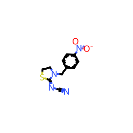 N#C/N=C1/SCCN1Cc1ccc([N+](=O)[O-])cc1